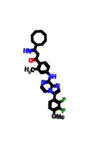 COc1ccc(-c2cnc3c(Nc4ccc(C(=O)CC(=N)C5CCCCCCC5)c(C)c4)nccn23)c(F)c1F